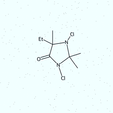 CCC1(C)C(=O)N(Cl)C(C)(C)N1Cl